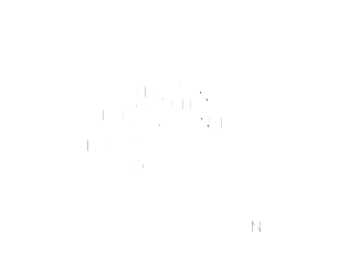 CC1(C)Oc2ccc(C#N)cc2C(Nn2ccccc2=O)C1(C)O